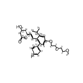 COCCOCCOc1cc(-c2ccc(F)cc2)c(/C=C/C2CC(O)CC(=O)O2)c(C(C)C)c1